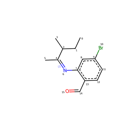 CCC(C)/C(C)=N\c1cc(Br)ccc1C=O